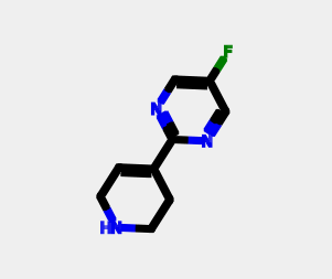 Fc1cnc(C2=CCNCC2)nc1